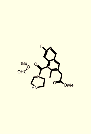 CC(C)(C)OC=O.COC(=O)Cc1cc2ccc(F)cc2c(C(=O)N2CCNCC2)c1C